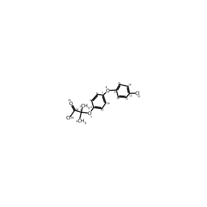 CC(C)(Oc1ccc(Oc2ccc(Cl)cc2)cc1)C(=O)Cl